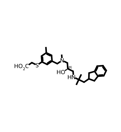 Cc1cc(CN(C)C[C@H](O)CNC(C)(C)CC2Cc3ccccc3C2)cc(SCC(=O)O)c1